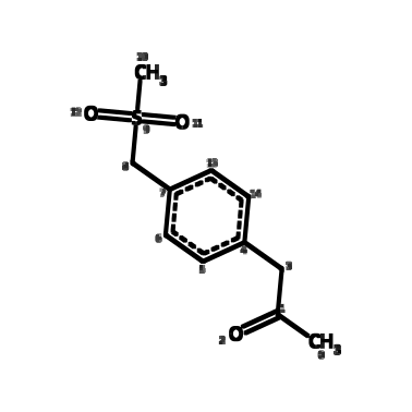 CC(=O)Cc1ccc(CS(C)(=O)=O)cc1